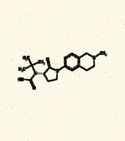 CN1CCc2cc(N3CC[C@H](N(C(=O)O)C(C)(C)C)C3=O)ccc2C1